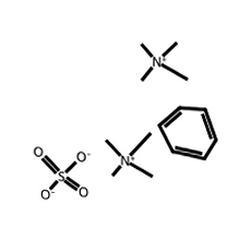 C[N+](C)(C)C.C[N+](C)(C)C.O=S(=O)([O-])[O-].c1ccccc1